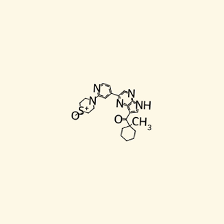 CC1(C(=O)c2c[nH]c3ncc(-c4ccnc(N5CC[S+]([O-])CC5)c4)nc23)CCCCC1